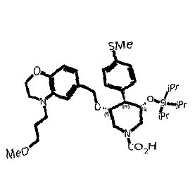 COCCCN1CCOc2ccc(CO[C@H]3CN(C(=O)O)C[C@@H](O[Si](C(C)C)(C(C)C)C(C)C)[C@@H]3c3ccc(SC)cc3)cc21